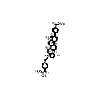 COC(=O)c1ccc(C2=CC[C@]3(C)[C@H]4CC[C@@H]5[C@H]6[C@H](C(C)C)CC[C@]6(NCCN6CCC(C(=O)N(C)C)CC6)CC[C@@]5(C)[C@]4(C)CC[C@H]3C2(C)C)cc1